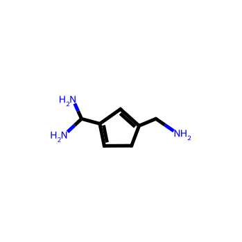 NCC1=CC(C(N)N)=CC1